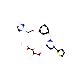 O=C(O)C(O)C(O)C(=O)O.c1cc(Nc2nccc(-c3cccs3)n2)cc(OCCn2ccnc2)c1